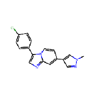 Cn1cc(-c2ccn3c(-c4ccc(Cl)cc4)cnc3c2)cn1